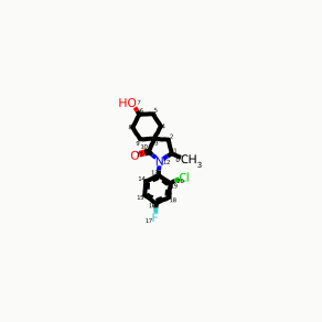 CC1CC2(CCC(O)CC2)C(=O)N1c1ccc(F)cc1Cl